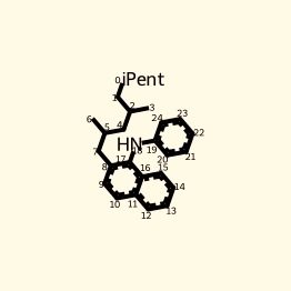 CCCC(C)CC(C)CC(C)Cc1ccc2ccccc2c1Nc1ccccc1